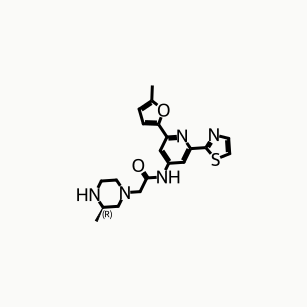 Cc1ccc(-c2cc(NC(=O)CN3CCN[C@H](C)C3)cc(-c3nccs3)n2)o1